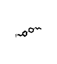 CCCC[C@H]1CC[C@H](c2ccc(C=CF)cc2)CC1